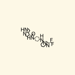 O=C(NC1CCC(Nc2cccc3nc(C(F)F)cn23)CC1)c1ccnc2[nH]ccc12